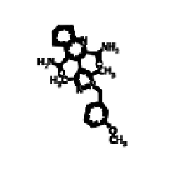 COc1cccc(Cn2nc(C)c(-c3c(C(N)=O)nc4ccccc4c3C(N)=O)c2C)c1